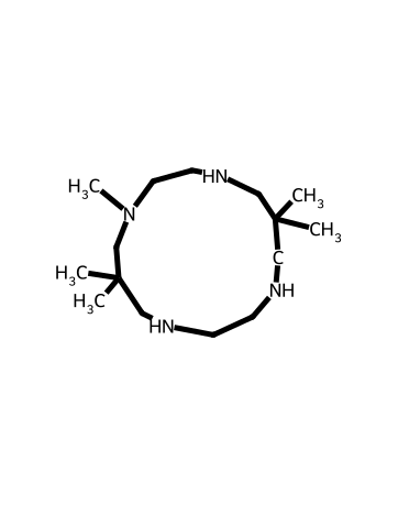 CN1CCNCC(C)(C)CNCCNCC(C)(C)C1